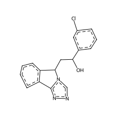 OC(CC1c2ccccc2-c2nncn21)c1cccc(Cl)c1